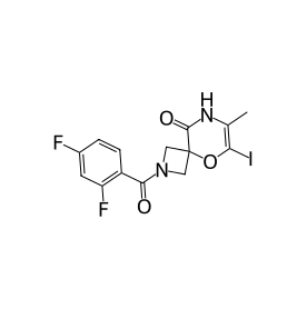 CC1=C(I)OC2(CN(C(=O)c3ccc(F)cc3F)C2)C(=O)N1